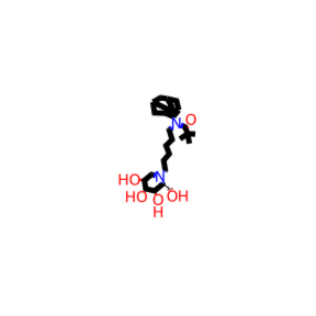 CC(C)(C)C(=O)N(CCCCCCN1C[C@H](O)[C@@H](O)[C@H](O)[C@H]1CO)C1C2CC3CC(C2)CC1C3